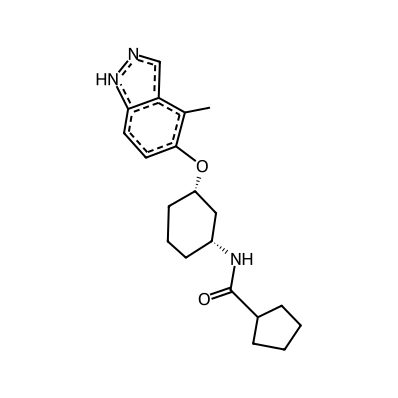 Cc1c(O[C@H]2CCC[C@@H](NC(=O)C3CCCC3)C2)ccc2[nH]ncc12